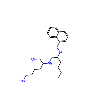 CCCCC(CNC(CN)CCCCNC)NCc1cccc2ccccc12